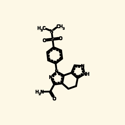 CN(C)S(=O)(=O)c1ccc(-n2nc(C(N)=O)c3c2-c2cn[nH]c2CC3)cc1